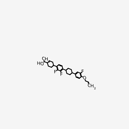 C=CCOc1ccc(C2CCC(c3ccc(C4CCC(C(C)O)CC4)c(F)c3F)CC2)cc1F